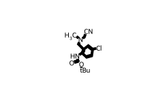 CN(CC#N)Cc1cc(Cl)ccc1NC(=O)OC(C)(C)C